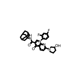 O=C(NC12CC3CC(CC(C3)C1)C2)c1cn(-c2ccc(F)cc2F)c2nc(N3CCCC(O)C3)ccc2c1=O